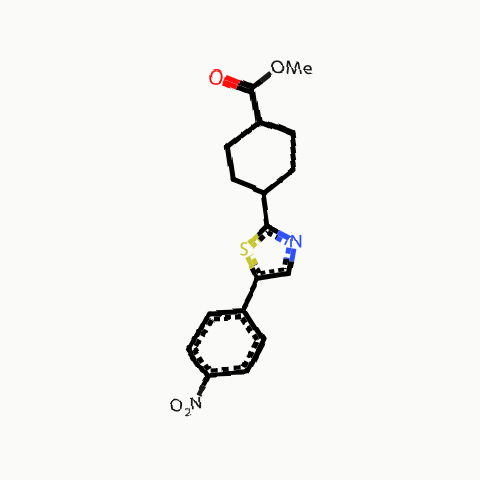 COC(=O)C1CCC(c2ncc(-c3ccc([N+](=O)[O-])cc3)s2)CC1